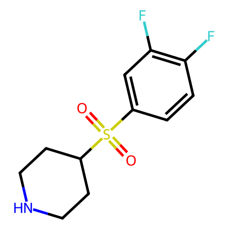 O=S(=O)(c1ccc(F)c(F)c1)C1CCNCC1